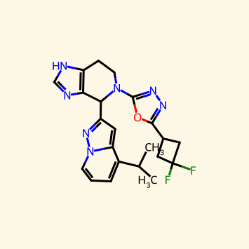 CC(C)c1cccn2nc(C3c4nc[nH]c4CCN3c3nnc(C4CC(F)(F)C4)o3)cc12